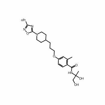 CCCc1noc(N2CCC(CCCOc3ccc(C(=O)NC(C)(O)CO)c(C)c3)CC2)n1